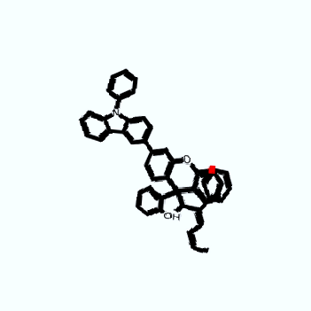 C/C=C\C=C(\c1ccccc1)C(C)C1(c2ccccc2O)c2ccccc2Oc2cc(-c3ccc4c(c3)c3ccccc3n4-c3ccccc3)ccc21